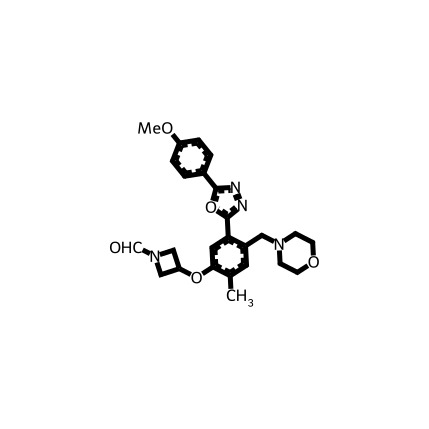 COc1ccc(-c2nnc(-c3cc(OC4CN(C=O)C4)c(C)cc3CN3CCOCC3)o2)cc1